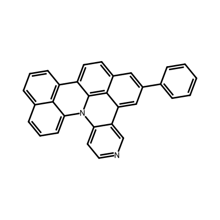 c1ccc(-c2cc3c4c5c(ccc4c2)-c2cccc4cccc(c24)N5c2ccncc2-3)cc1